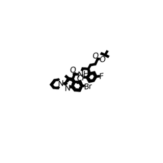 Cc1c(N2CC=CCC2)nc2ccc(Br)cc2c1C(=O)NCC(CCC(=O)OC(C)(C)C)c1cc(F)ccc1Cl